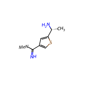 CNC(=N)c1csc([C@@H](C)N)c1